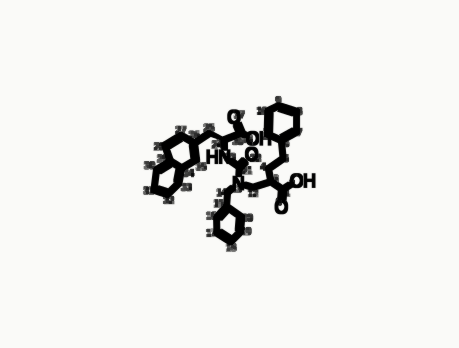 O=C(O)C(CCc1ccccc1)CN(Cc1ccccc1)C(=O)N[C@@H](Cc1ccc2ccccc2c1)C(=O)O